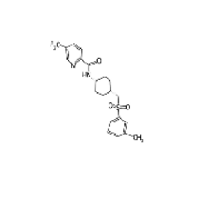 Cc1cccc(S(=O)(=O)C[C@H]2CC[C@@H](NC(=O)c3ccc(C(F)(F)F)cn3)CC2)c1